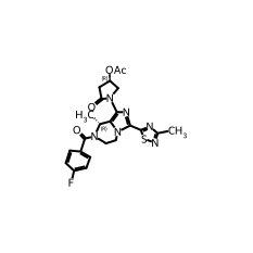 CC(=O)O[C@@H]1CC(=O)N(c2nc(-c3nc(C)ns3)n3c2[C@@H](C)N(C(=O)c2ccc(F)cc2)CC3)C1